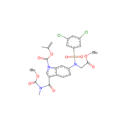 C=C(C)OC(=O)n1cc(C(=O)N(C)C(=O)OC(C)(C)C)c2ccc(N(CC(=O)OC(C)(C)C)S(=O)(=O)c3cc(Cl)cc(Cl)c3)cc21